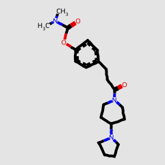 CN(C)C(=O)Oc1ccc(CCC(=O)N2CCC(N3CCCC3)CC2)cc1